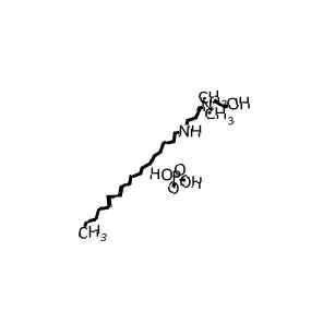 CCCCCCCCCCCCCCCCCCNCCC[N+](C)(C)CCO.O=P([O-])(O)O